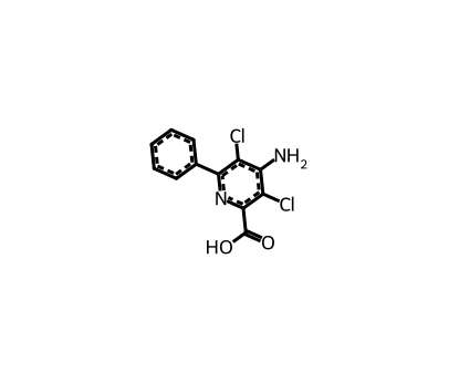 Nc1c(Cl)c(C(=O)O)nc(-c2ccccc2)c1Cl